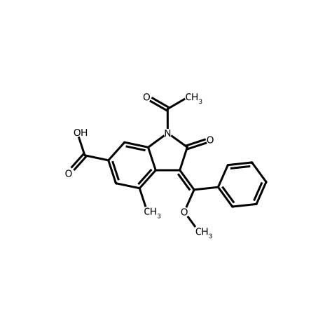 COC(=C1C(=O)N(C(C)=O)c2cc(C(=O)O)cc(C)c21)c1ccccc1